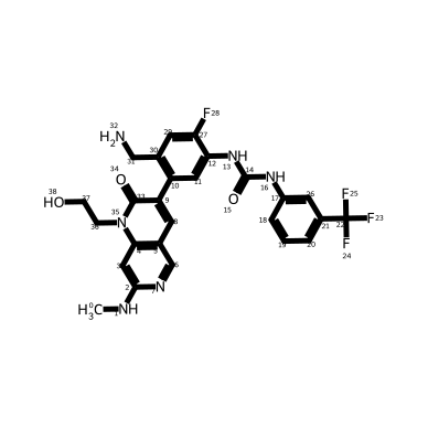 CNc1cc2c(cn1)cc(-c1cc(NC(=O)Nc3cccc(C(F)(F)F)c3)c(F)cc1CN)c(=O)n2CCO